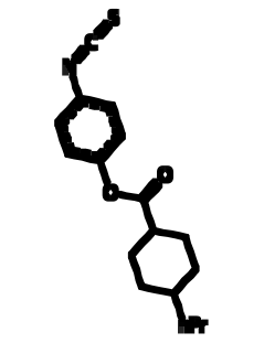 CCCC1CCC(C(=O)Oc2ccc(N=C=S)cc2)CC1